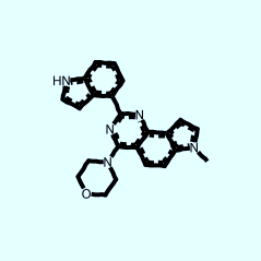 Cn1ccc2c3nc(-c4cccc5[nH]ccc45)nc(N4CCOCC4)c3ccc21